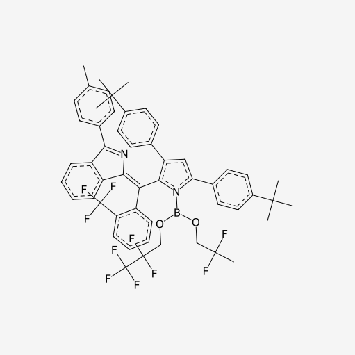 Cc1ccc(C2=N/C(=C(/c3ccccc3C(F)(F)F)c3c(-c4ccc(C(C)(C)C)cc4)cc(-c4ccc(C(C)(C)C)cc4)n3B(OCC(C)(F)F)OCC(F)(F)C(F)(F)F)c3ccccc32)cc1